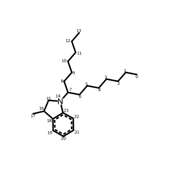 CCCCCCCC(CCCCCC)N1CC(C)c2ccccc21